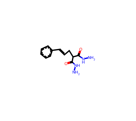 NNC(=O)C(C/C=C/c1ccccc1)C(=O)NN